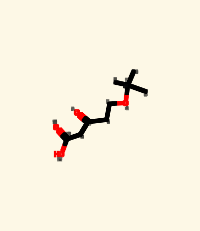 C[Si](C)(C)OCCC(=O)CC(=O)O